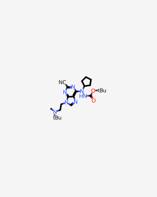 CN(CCn1cnc2c(N(NC(=O)OC(C)(C)C)C3CCCC3)nc(C#N)nc21)C(C)(C)C